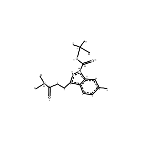 Cc1ccc2c(CCC(=O)N(C)C)nn(C(=O)OC(C)(C)C)c2c1